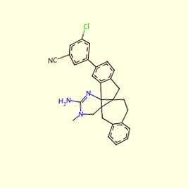 CN1CC23Cc4ccccc4CCC24Cc2ccc(-c5cc(Cl)cc(C#N)c5)cc2C43N=C1N